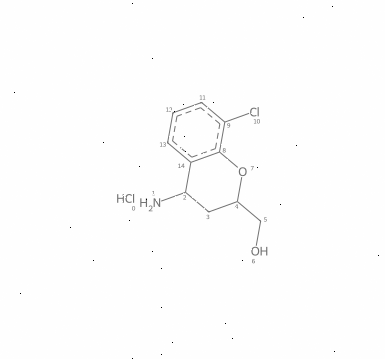 Cl.NC1CC(CO)Oc2c(Cl)cccc21